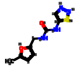 Cc1ccc(CNC(=O)Nc2cnns2)o1